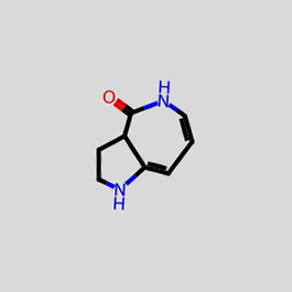 O=C1NC=CC=C2NCCC12